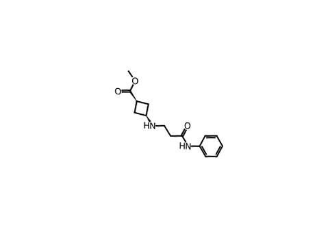 COC(=O)[C@H]1C[C@@H](NCCC(=O)Nc2ccccc2)C1